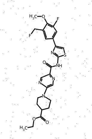 CCOC(=O)C1CCN(c2cnc(C(=O)Nc3nc(-c4cc(F)c(OC)c(CF)c4)cs3)cn2)CC1